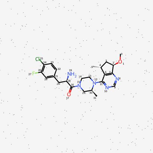 CO[C@@H]1C[C@@H](C)c2c1ncnc2N1CCN(C(=O)[C@H](N)Cc2ccc(Cl)c(F)c2)C[C@@H]1C